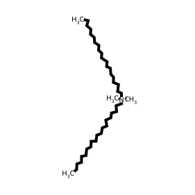 CCCCCCCCCCCCCCCCCCCC[N+](C)(C)CCCCCCCCCCCCCCCCCCCC